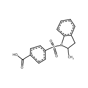 CC1Cc2ccccc2N1S(=O)(=O)c1ccc(C(=O)O)cc1